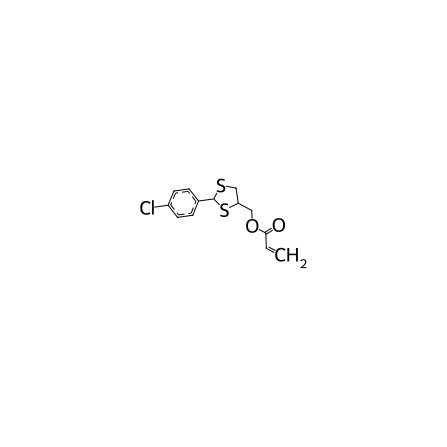 C=CC(=O)OCC1CSC(c2ccc(Cl)cc2)S1